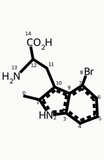 Cc1[nH]c2cccc(Br)c2c1CC(N)C(=O)O